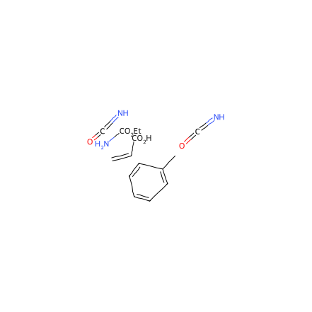 C=CC(=O)O.CCOC(N)=O.Cc1ccccc1.N=C=O.N=C=O